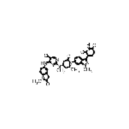 C[C@@H]1C[C@H](N(C)c2ncc(Cl)c(Nc3ccc4c(c3)CC(=O)N4C)n2)CC(=O)N1c1ccc2c(C3CCC(=O)NC3=O)nn(C)c2c1